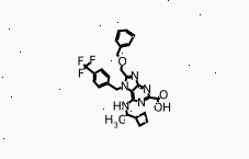 C[C@@H](Nc1nc(C(=O)O)nc2nc(COCc3ccccc3)n(Cc3ccc(C(F)(F)F)cc3)c12)C1CCC1